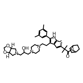 Cc1cc(C)cc(-c2[nH]c3sc(C(C)(C)C(=O)N4C5CCC4CC5)cc3c2CCN2CCN(CC(O)CN3C[C@@H]4OCO[C@@H]4C3)CC2)c1